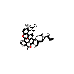 C=CC(=O)N1CC2COc3c(c4cc(F)c(-c5c(C)ccc6[nH]c(=O)n(C)c56)c(Cl)c4n(-c4c(C(C)C)ncnc4C(C)C)c3=O)N2CC1C